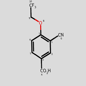 N#Cc1cc(C(=O)O)ccc1OCC(F)(F)F